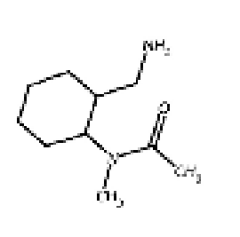 CC(=O)N(C)C1CCCCC1CN